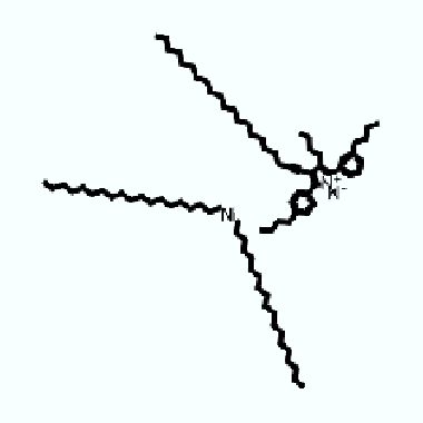 CCCCCCCCCCCCCCCCCCCC#CC1=C(c2ccc(CCCC)cc2)[N+](=[N-])C(c2cccc(CCCC)c2)=C1CCCC.CCCCCCCCCCCCCCCCCC[CH2][Ni][CH2]CCCCCCCCCCCCCCCCCC